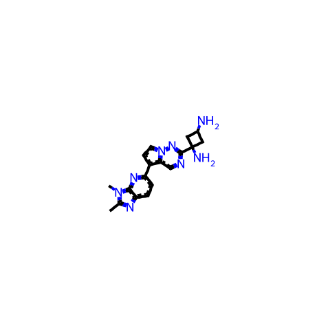 Cc1nc2ccc(-c3ccn4nc(C5(N)CC(N)C5)ncc34)nc2n1C